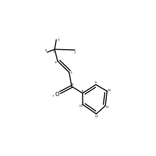 CC(C)(C)C=CC(=O)c1ccccc1